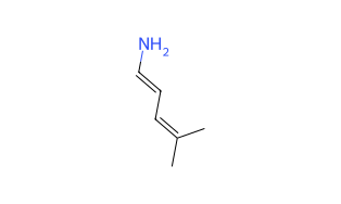 CC(C)=CC=CN